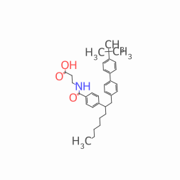 CCCCCCC(Cc1ccc(-c2ccc(C(C)(C)C)cc2)cc1)c1ccc(C(=O)NCCC(=O)O)cc1